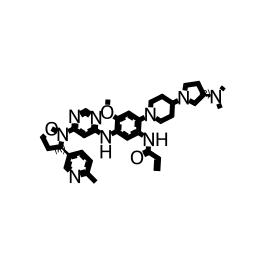 C=CC(=O)Nc1cc(Nc2cc(N3OCC[C@@H]3c3ccc(C)nc3)ncn2)c(OC)cc1N1CCC(N2CC[C@@H](N(C)C)C2)CC1